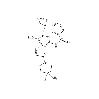 COCC(F)(F)c1cccc([C@@H](C)Nc2nnc(C)c3ncc(N4CCC(C)(O)CC4)cc23)c1